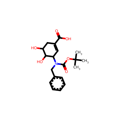 CC(C)(C)OC(=O)N(Cc1ccccc1)C1C=C(C(=O)O)CC(O)C1O